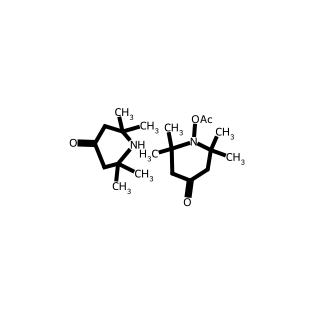 CC(=O)ON1C(C)(C)CC(=O)CC1(C)C.CC1(C)CC(=O)CC(C)(C)N1